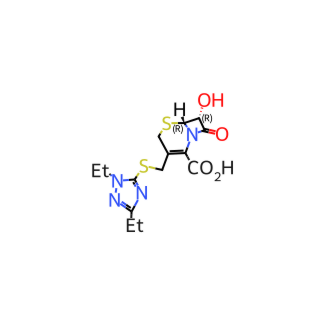 CCc1nc(SCC2=C(C(=O)O)N3C(=O)[C@@H](O)[C@H]3SC2)n(CC)n1